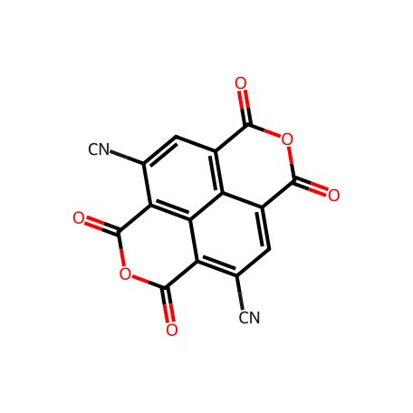 [C-]#[N+]c1cc2c3c(cc(C#N)c4c3c1C(=O)OC4=O)C(=O)OC2=O